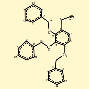 CC(C)Cc1ccc(OCc2ccccc2)c(OCc2ccccc2)c1OCc1ccccc1